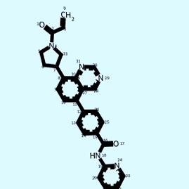 C=CC(=O)N1CCC(c2ccc(-c3ccc(C(=O)Nc4ccccn4)cc3)c3cncnc23)C1